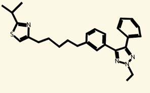 CCn1nc(-c2ccccc2)c(-c2cccc(CCCCCc3csc(C(C)C)n3)c2)n1